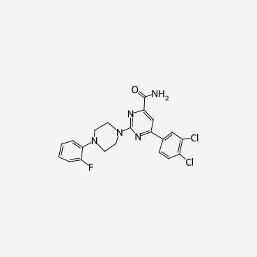 NC(=O)c1cc(-c2ccc(Cl)c(Cl)c2)nc(N2CCN(c3ccccc3F)CC2)n1